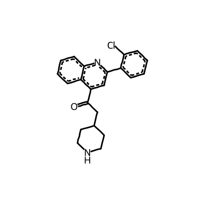 O=C(CC1CCNCC1)c1cc(-c2ccccc2Cl)nc2ccccc12